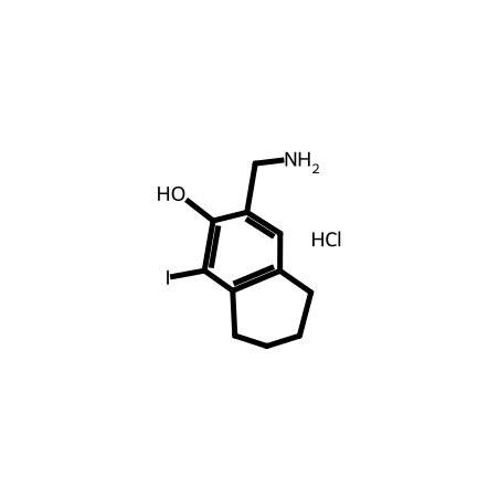 Cl.NCc1cc2c(c(I)c1O)CCCC2